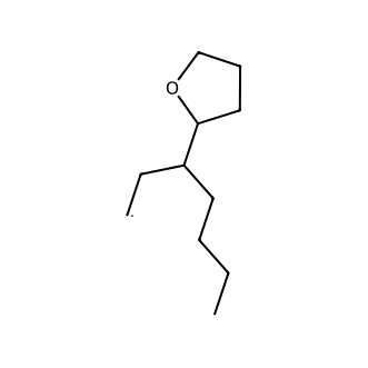 [CH2]CC(CCCC)C1CCCO1